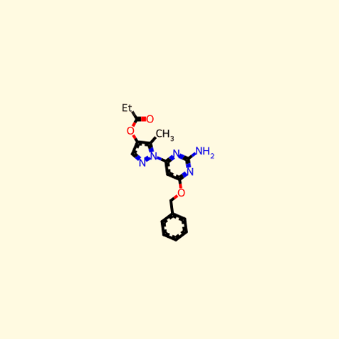 CCC(=O)Oc1cnn(-c2cc(OCc3ccccc3)nc(N)n2)c1C